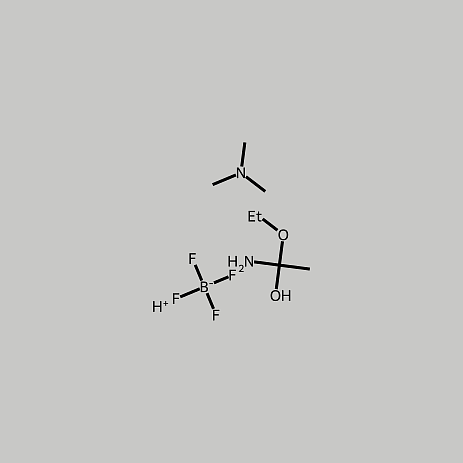 CCOC(C)(N)O.CN(C)C.F[B-](F)(F)F.[H+]